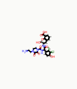 NCCN1CCN(C(=O)NC(C(=O)N[C@H]2Cc3cccc(C(=O)O)c3OB2O)c2ccc(O)c(Cl)c2F)C(=O)C1=O